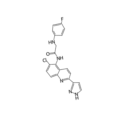 O=C(CNc1ccc(F)cc1)Nc1c(Cl)ccc2nc(-c3cc[nH]n3)ccc12